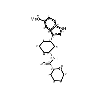 COc1ccc2[nH]cc([C@H]3CCC[C@@H](NC(=O)[C@H]4CCCCO4)C3)c2c1